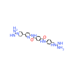 N=C(N)NCc1ccc(NC(=O)c2ccc(C(=O)Nc3ccc(C4=CCN(C(=N)N)CC4)cn3)cc2)cc1